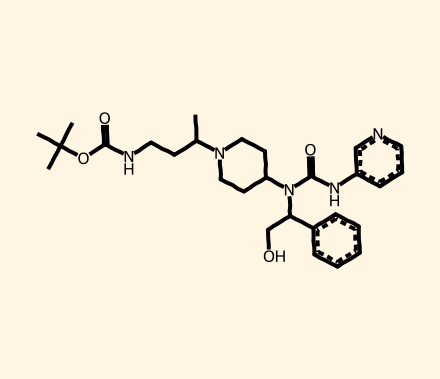 CC(CCNC(=O)OC(C)(C)C)N1CCC(N(C(=O)Nc2cccnc2)C(CO)c2ccccc2)CC1